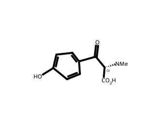 CN[C@H](C(=O)O)C(=O)c1ccc(O)cc1